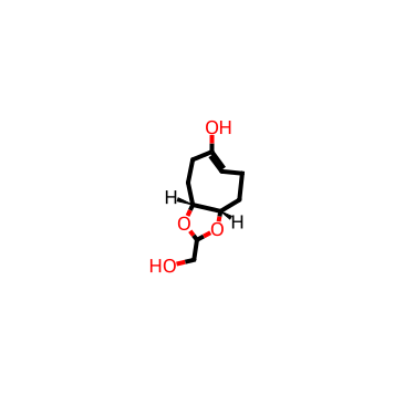 OCC1O[C@H]2CC/C=C(\O)CC[C@H]2O1